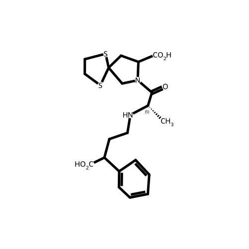 C[C@H](NCCC(C(=O)O)c1ccccc1)C(=O)N1CC2(CC1C(=O)O)SCCS2